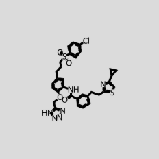 O=C(Nc1cc(CCCS(=O)(=O)c2ccc(Cl)cc2)ccc1OCc1nnn[nH]1)c1cccc(CCc2nc(C3CC3)cs2)c1